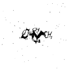 CCc1ncnc(N2CCOCC2)c1C